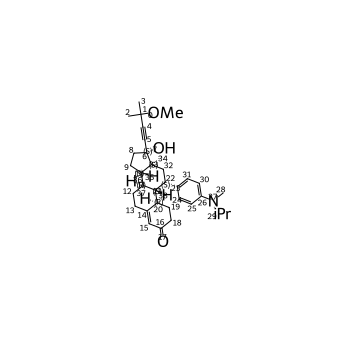 COC(C)(C)C#C[C@]1(O)CC[C@H]2[C@@H]3CCC4=CC(=O)CC[C@@H]4[C@H]3[C@@H](c3ccc(N(C)C(C)C)cc3)C[C@@]21C